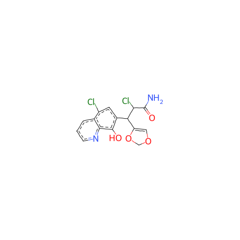 NC(=O)C(Cl)C(C1=COCO1)c1cc(Cl)c2cccnc2c1O